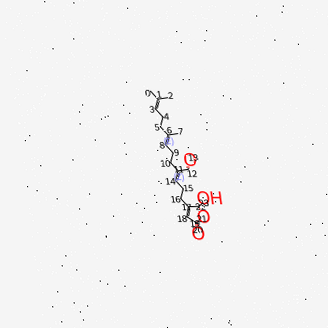 CC(C)=CCC/C(C)=C/CC/C(C=O)=C/CCC1=CC(=O)OC1O